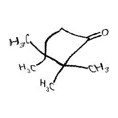 CC1(C)CC(=O)C1(C)C